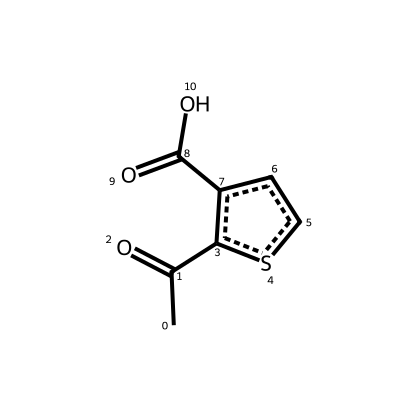 CC(=O)c1sccc1C(=O)O